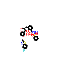 O=C(NS(=O)(=O)c1ccccc1)c1cccc(C[C@H]2COc3ccc(OCc4nc5cc(F)ccc5s4)cc3[C@H]2O)c1